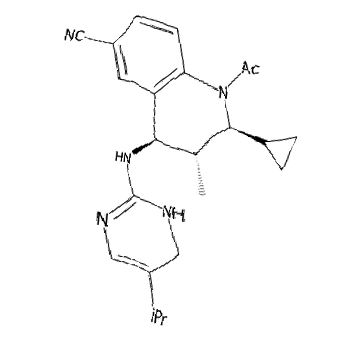 CC(=O)N1c2ccc(C#N)cc2[C@H](NC2=NC=C(C(C)C)CN2)[C@@H](C)[C@@H]1C1CC1